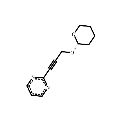 C(#Cc1ncccn1)CO[C@H]1CCCCO1